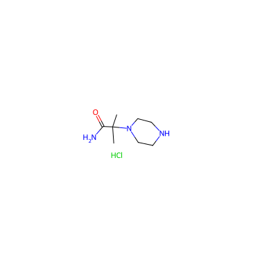 CC(C)(C(N)=O)N1CCNCC1.Cl